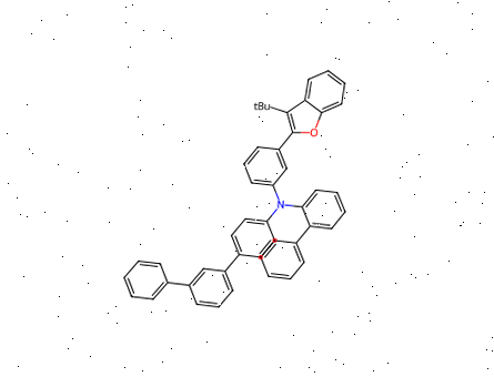 CC(C)(C)c1c(-c2cccc(N(c3ccc(-c4cccc(-c5ccccc5)c4)cc3)c3ccccc3-c3ccccc3)c2)oc2ccccc12